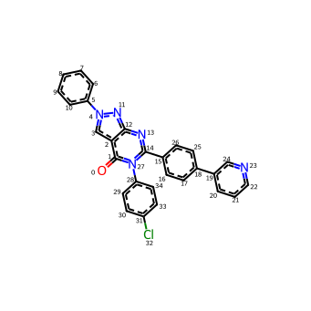 O=c1c2cn(-c3ccccc3)nc2nc(-c2ccc(-c3cccnc3)cc2)n1-c1ccc(Cl)cc1